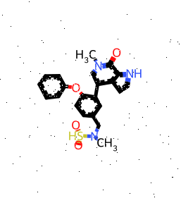 CN(Cc1ccc(Oc2ccccc2)c(-c2cn(C)c(=O)c3[nH]ccc23)c1)[SH](=O)=O